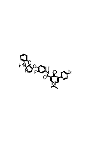 CC(C)n1cc(C(=O)Nc2ccc(Oc3ccnc4c3Oc3ccccc3N4)c(F)c2)c(=O)c(-c2ccc(Br)cc2)c1